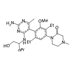 CCCC(CO)Nc1nc(N)nc(C)c1-c1c(CC)cc(N2CCN(C)CC2=O)c(CC)c1OC